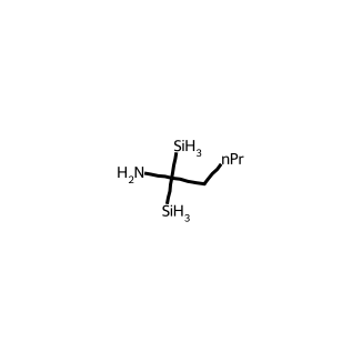 CCCCC(N)([SiH3])[SiH3]